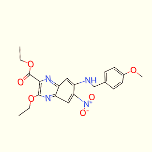 CCOC(=O)c1nc2cc(NCc3ccc(OC)cc3)c([N+](=O)[O-])cc2nc1OCC